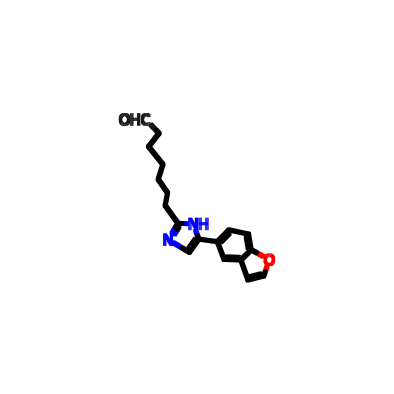 O=CCCCCCCc1ncc(-c2ccc3occc3c2)[nH]1